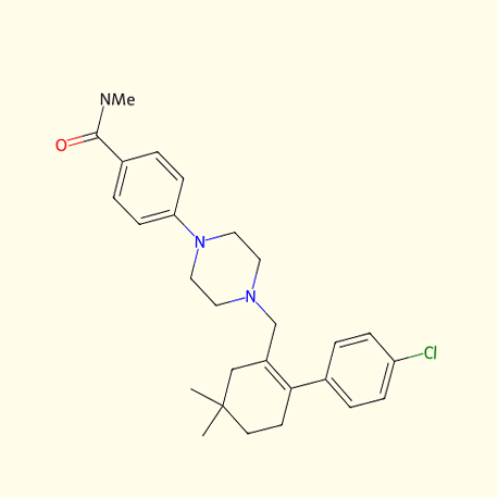 CNC(=O)c1ccc(N2CCN(CC3=C(c4ccc(Cl)cc4)CCC(C)(C)C3)CC2)cc1